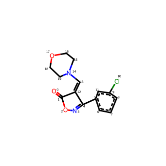 O=C1ON=C(c2cccc(Cl)c2)/C1=C/N1CCOCC1